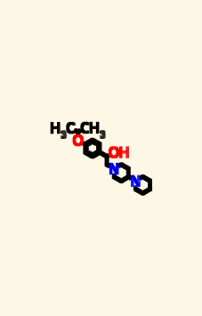 CC(C)Oc1ccc(C(O)CN2CCC(N3CCCCC3)CC2)cc1